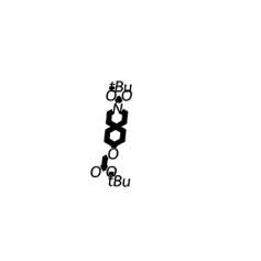 CC(C)(C)OC(=O)COC1CCC2(CC1)CCN(C(=O)OC(C)(C)C)CC2